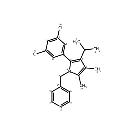 Cc1c(C(C)C)c(-c2cc(Cl)cc(Cl)c2)n(Cc2ccncc2)c1C